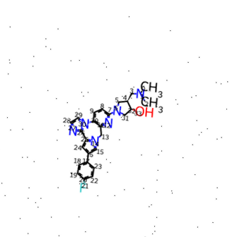 CN(C)C[C@@H]1CN(c2ccc3c(n2)Cn2cc(-c4ccc(F)cc4)cc2-c2nccn2-3)C[C@@H]1O